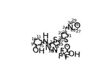 O=C(O)C(F)(F)F.Oc1cccc(Nc2ncnc3cc(-c4cc(CN5CCOCC5)cs4)sc23)c1